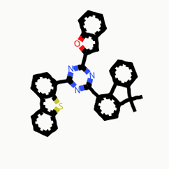 CC1(C)c2ccccc2-c2c(-c3nc(-c4cc5ccccc5o4)nc(-c4cccc5c4sc4ccccc45)n3)cccc21